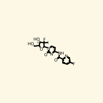 O=C(Nc1ccn(C2OC(CO)[C@H](O)C2(F)I)c(=O)n1)c1ccc(F)cn1